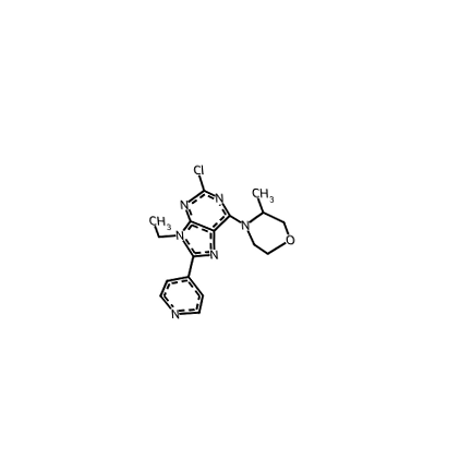 CCn1c(-c2ccncc2)nc2c(N3CCOCC3C)nc(Cl)nc21